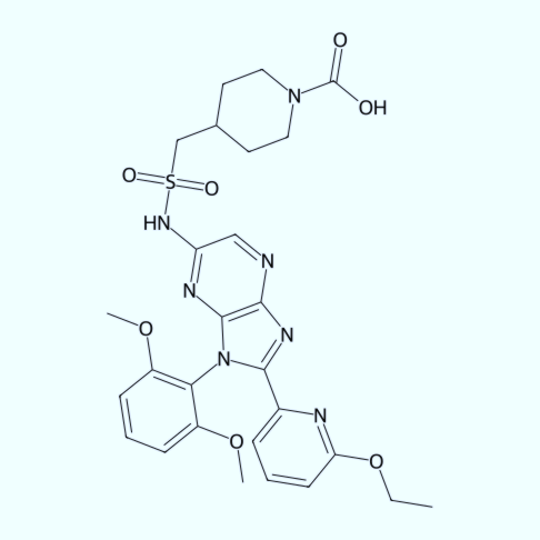 CCOc1cccc(-c2nc3ncc(NS(=O)(=O)CC4CCN(C(=O)O)CC4)nc3n2-c2c(OC)cccc2OC)n1